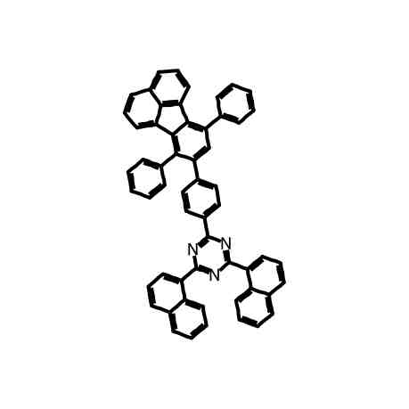 c1ccc(-c2cc(-c3ccc(-c4nc(-c5cccc6ccccc56)nc(-c5cccc6ccccc56)n4)cc3)c(-c3ccccc3)c3c2-c2cccc4cccc-3c24)cc1